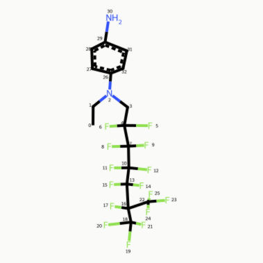 CCN(CC(F)(F)C(F)(F)C(F)(F)C(F)(F)C(F)(C(F)(F)F)C(F)(F)F)c1ccc(N)cc1